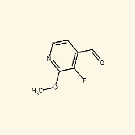 COc1nccc(C=O)c1F